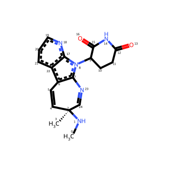 CN[C@@]1(C)C=Cc2c(n(C3CCC(=O)NC3=O)c3ncccc23)N=C1